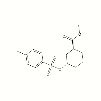 COC(=O)[C@H]1CCC[C@H](OS(=O)(=O)c2ccc(C)cc2)C1